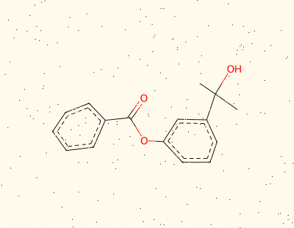 CC(C)(O)c1cccc(OC(=O)c2ccccc2)c1